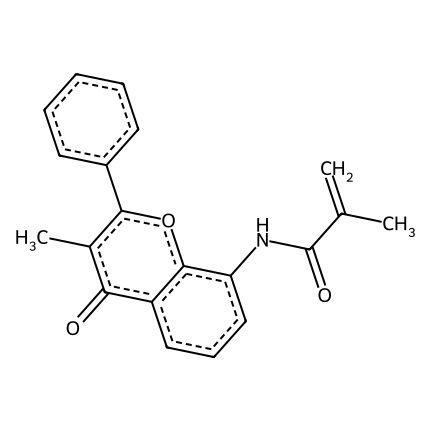 C=C(C)C(=O)Nc1cccc2c(=O)c(C)c(-c3ccccc3)oc12